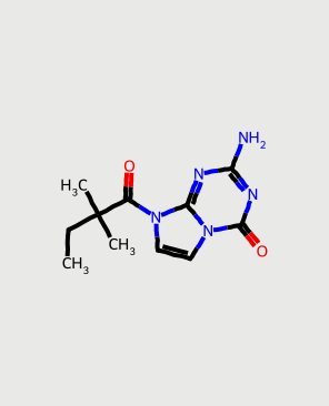 CCC(C)(C)C(=O)n1ccn2c(=O)nc(N)nc12